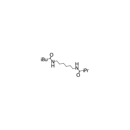 CCC(C)C(=O)NCCCCCCNC(=O)C(C)C